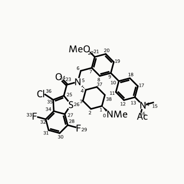 CN[C@H]1CC[C@H](N(Cc2cc(-c3ccc(N(C)C(C)=O)cc3)ccc2OC)C(=O)c2sc3c(F)ccc(F)c3c2Cl)CC1